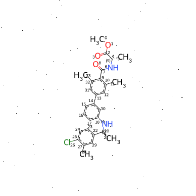 COC(=O)[C@H](C)NC(=O)c1c(C)cc(-c2cccc(N[C@@H](C)c3ccc(Cl)c(C)c3)c2)cc1C